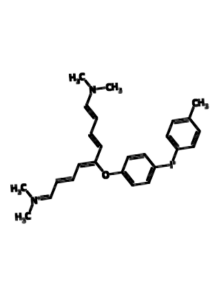 Cc1ccc([I+]c2ccc(OC(=C\C=C\C=[N+](C)C)/C=C/C=C/N(C)C)cc2)cc1